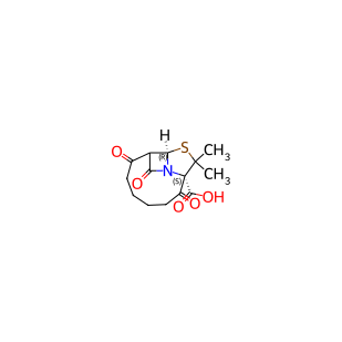 CC1(C)S[C@@H]2C3C(=O)CCCCC(=O)[C@@]1(C(=O)O)N2C3=O